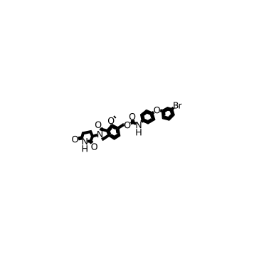 COc1c(COC(=O)Nc2ccc(Oc3cccc(Br)c3)cc2)ccc2c1C(=O)N(C1CCC(=O)NC1=O)C2